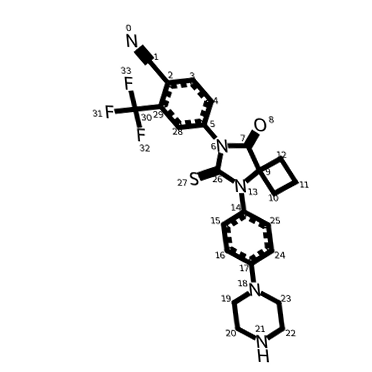 N#Cc1ccc(N2C(=O)C3(CCC3)N(c3ccc(N4CCNCC4)cc3)C2=S)cc1C(F)(F)F